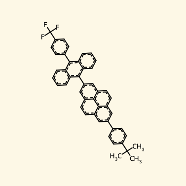 CC(C)(C)c1ccc(-c2cc3ccc4cc(-c5c6ccccc6c(-c6ccc(C(F)(F)F)cc6)c6ccccc56)cc5ccc(c2)c3c45)cc1